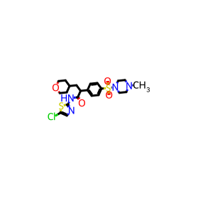 CN1CCN(S(=O)(=O)c2ccc(C(CC3CCOCC3)C(=O)Nc3ncc(Cl)s3)cc2)CC1